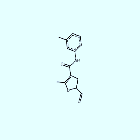 C=CC1CC(C(=O)Nc2cccc(C)c2)=C(C)O1